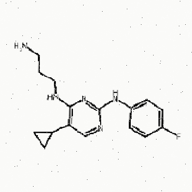 NCCCNc1nc(Nc2ccc(F)cc2)ncc1C1CC1